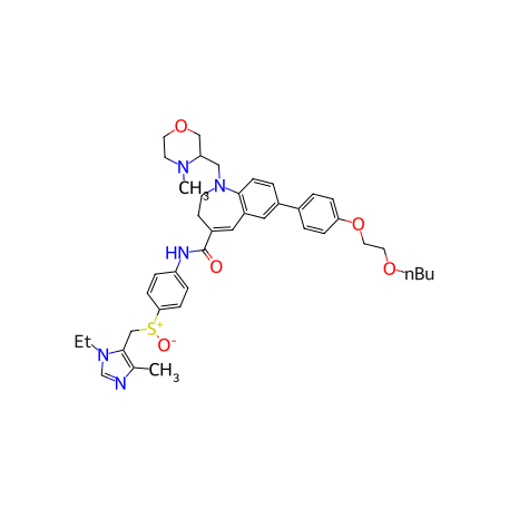 CCCCOCCOc1ccc(-c2ccc3c(c2)C=C(C(=O)Nc2ccc([S+]([O-])Cc4c(C)ncn4CC)cc2)CCN3CC2COCCN2C)cc1